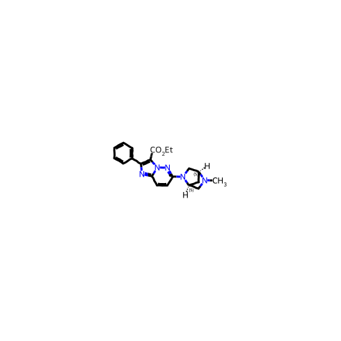 CCOC(=O)c1c(-c2ccccc2)nc2ccc(N3C[C@@H]4C[C@H]3CN4C)nn12